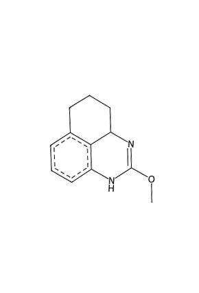 COC1=NC2CCCc3cccc(c32)N1